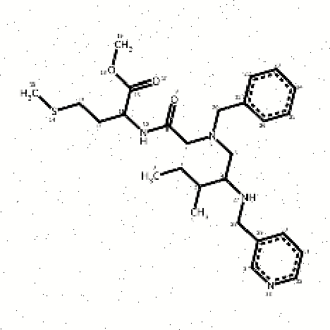 CCC(C)C(CN(CC(=O)NC(CCSC)C(=O)OC)Cc1ccccc1)NCc1cccnc1